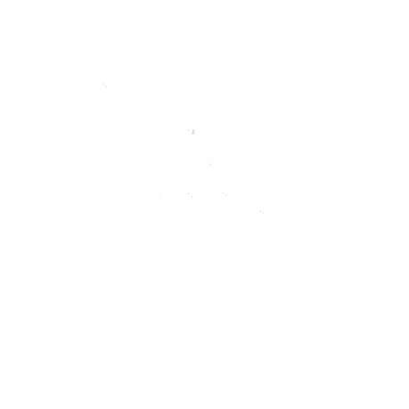 N#Cc1ccc(Nc2cc(C(F)(F)F)nc(N3CCN(SC4=CCC(C(F)(F)F)C=C4)CC3)n2)cc1